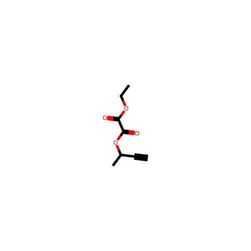 C#CC(C)OC(=O)C(=O)OCC